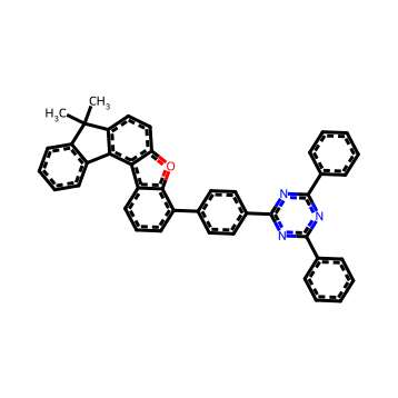 CC1(C)c2ccccc2-c2c1ccc1oc3c(-c4ccc(-c5nc(-c6ccccc6)nc(-c6ccccc6)n5)cc4)cccc3c21